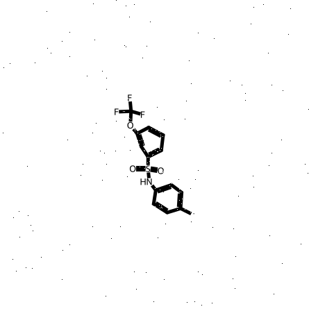 [CH2]c1ccc(NS(=O)(=O)c2cccc(OC(F)(F)F)c2)cc1